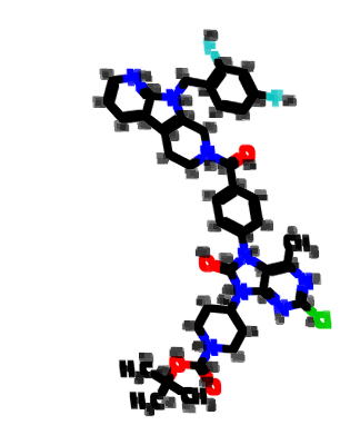 Cc1nc(Cl)nc2c1n(-c1ccc(C(=O)N3CCc4c(n(Cc5ccc(F)cc5F)c5ncccc45)C3)cc1)c(=O)n2C1CCN(C(=O)OC(C)(C)C)CC1